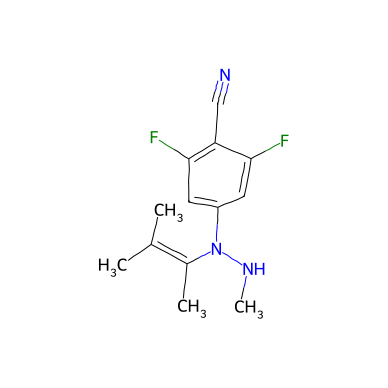 CNN(C(C)=C(C)C)c1cc(F)c(C#N)c(F)c1